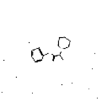 CC(C(=O)Nc1ccccc1)N1CCCCC1